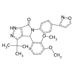 COc1cccc(C2c3c(C(C)(C)C)n[nH]c3C(=O)N2c2ccc(-c3ccon3)cc2)c1OC